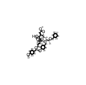 COC(=O)/C=C1\C[C@@H](C[C@@H](OCc2ccc(OC)cc2)[C@@H](C)OCc2ccccc2)O[C@@](OC)(C(C)(C)/C=C/COCc2ccc(OC)cc2)[C@H]1O